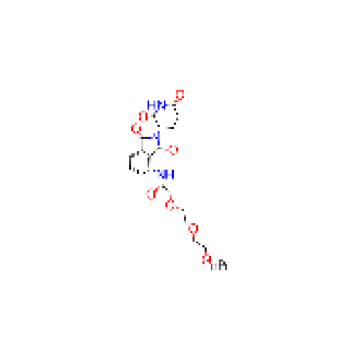 CCCOCCOCCOCC(=O)Nc1cccc2c1C(=O)N(C1CCC(=O)NC1=O)C2=O